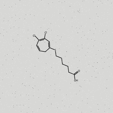 O=C(O)CCCCCSC1=CC(Cl)=C(Cl)C=CC1